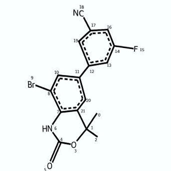 CC1(C)OC(=O)Nc2c(Br)cc(-c3cc(F)cc(C#N)c3)cc21